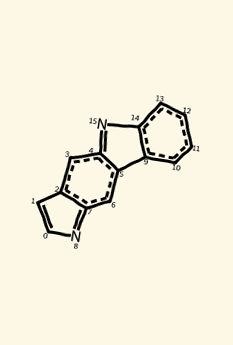 C1=Cc2cc3c(cc2=N1)-c1ccccc1N=3